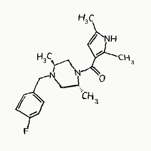 Cc1cc(C(=O)N2C[C@H](C)N(Cc3ccc(F)cc3)C[C@H]2C)c(C)[nH]1